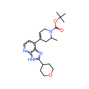 CC1CC(c2ccnc3[nH]c(C4CCOCC4)nc23)=CCN1C(=O)OC(C)(C)C